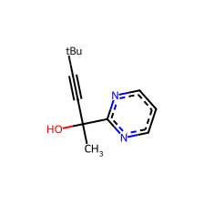 CC(C)(C)C#CC(C)(O)c1ncccn1